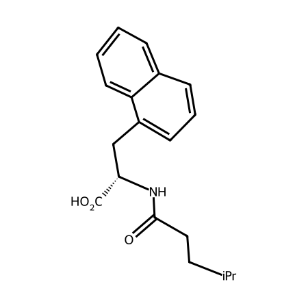 CC(C)CCC(=O)N[C@@H](Cc1cccc2ccccc12)C(=O)O